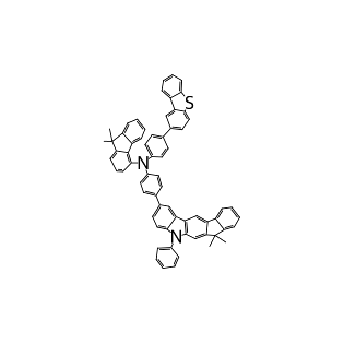 CC1(C)c2ccccc2-c2cc3c4cc(-c5ccc(N(c6ccc(-c7ccc8sc9ccccc9c8c7)cc6)c6cccc7c6-c6ccccc6C7(C)C)cc5)ccc4n(-c4ccccc4)c3cc21